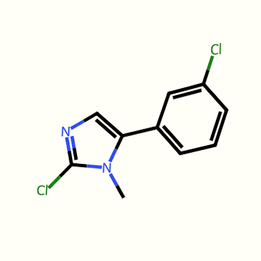 Cn1c(-c2cccc(Cl)c2)cnc1Cl